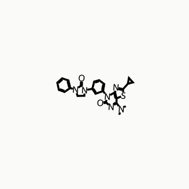 CN(C)c1nc(=O)n(-c2cccc(N3CCN(c4ccccc4)C3=O)c2)c2nc(C3CC3)sc12